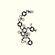 C=CCN1CC(=O)N2[C@@H](Cc3ccc(OC(=O)Oc4ccc(N=N)cc4)cc3)C(=O)N(Cc3ccc(F)cc3F)C[C@@H]2N1C(=O)NCc1ccccc1